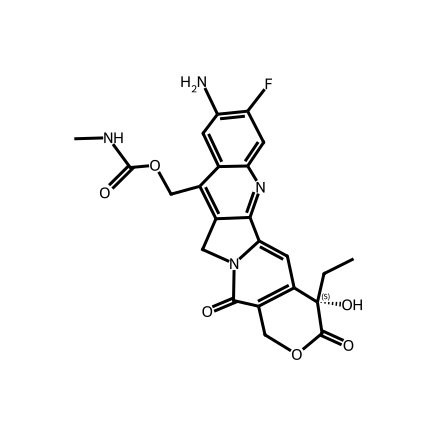 CC[C@@]1(O)C(=O)OCc2c1cc1n(c2=O)Cc2c-1nc1cc(F)c(N)cc1c2COC(=O)NC